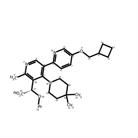 Cc1ncc(-c2ccc(OCC3CCC3)cn2)c(N2CCC(C)(C)CC2)c1[C@H](OC(C)C)C(=O)O